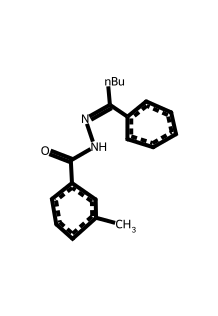 CCCCC(=NNC(=O)c1cccc(C)c1)c1ccccc1